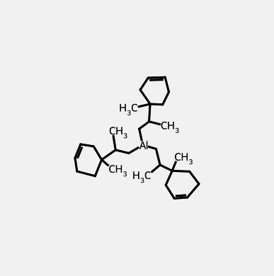 CC([CH2][Al]([CH2]C(C)C1(C)CC=CCC1)[CH2]C(C)C1(C)CC=CCC1)C1(C)CC=CCC1